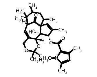 CC1=CC23C(=O)[C@@H](C=C4COC(C)(C)O[C@H]4[C@]2(O)[C@H]1OC(=O)c1c(C)cc(C)n1C)C(C)(C)C(C)CC3C